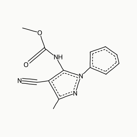 COC(=O)Nc1c(C#N)c(C)nn1-c1ccccc1